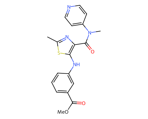 COC(=O)c1cccc(Nc2sc(C)nc2C(=O)N(C)c2ccncc2)c1